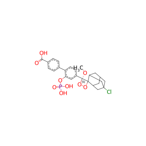 CO[C@@]1(c2ccc(-c3ccc(C(=O)O)cc3)c(OP(=O)(O)O)c2)OOC12C1CC3CC2CC(Cl)(C3)C1